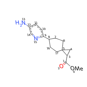 COC(=O)C1CC12CCC(c1ccc(N)cn1)CC2